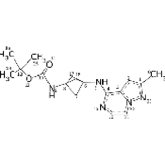 Cc1cc2c(NC34CC(NC(=O)OC(C)(C)C)(C3)C4)nccn2n1